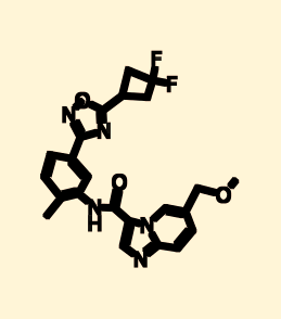 COCc1ccc2ncc(C(=O)Nc3cc(-c4noc(C5CC(F)(F)C5)n4)ccc3C)n2c1